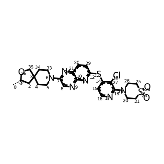 C[C@H]1CC2(CCN(c3cnc4nc(Sc5ccnc(N6CCS(=O)(=O)CC6)c5Cl)ccc4n3)CC2)CO1